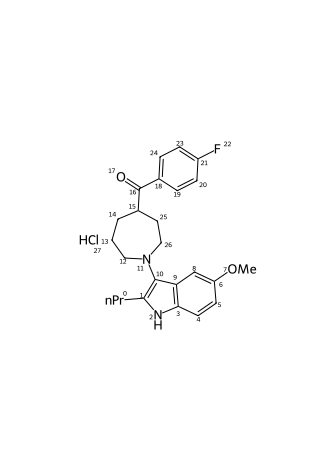 CCCc1[nH]c2ccc(OC)cc2c1N1CCCC(C(=O)c2ccc(F)cc2)CC1.Cl